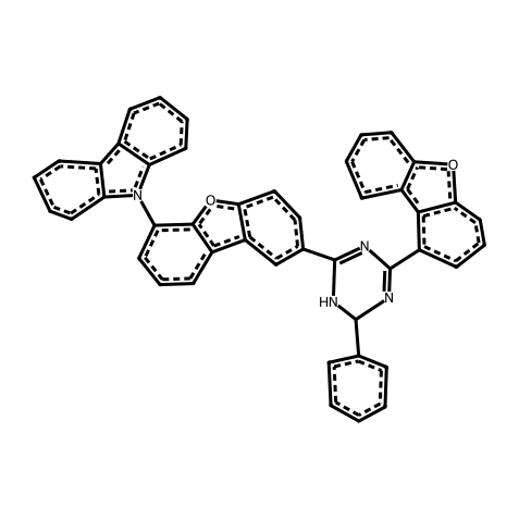 c1ccc(C2N=C(c3cccc4oc5ccccc5c34)N=C(c3ccc4oc5c(-n6c7ccccc7c7ccccc76)cccc5c4c3)N2)cc1